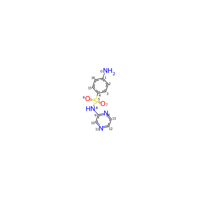 Nc1ccc(S(=O)(=O)Nc2cnccn2)cc1